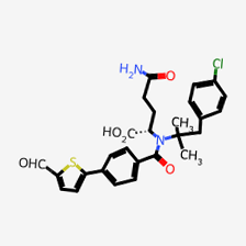 CC(C)(Cc1ccc(Cl)cc1)N(C(=O)c1ccc(-c2ccc(C=O)s2)cc1)[C@@H](CCC(N)=O)C(=O)O